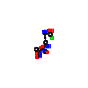 COCC(=O)N[C@@H](C(=O)N1CCOC[C@H]1C(=O)Nc1ccc(C#Cc2cn(C)nc2-c2cc(Cl)ccc2O)cc1)c1ccccc1